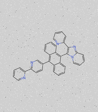 c1ccc(-c2ccc(-c3c4ccccc4c(-c4c(-c5ccccn5)nc5ccccn45)c4ccccc34)cn2)nc1